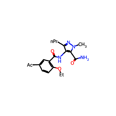 CCCc1nn(C)c(C(N)=O)c1NC(=O)c1cc(C(C)=O)ccc1OCC